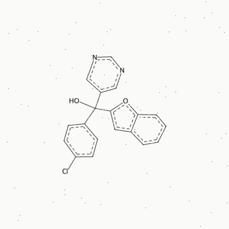 OC(c1ccc(Cl)cc1)(c1cncnc1)c1cc2ccccc2o1